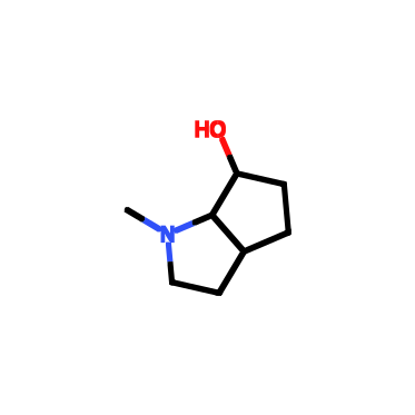 CN1CCC2CCC(O)C21